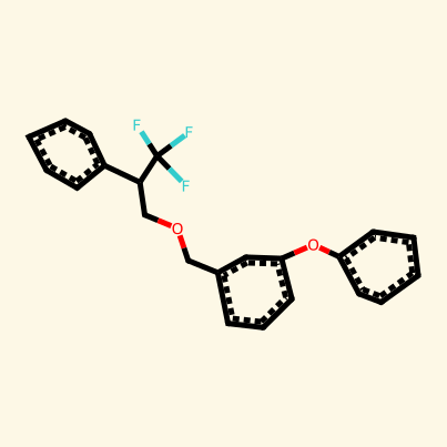 FC(F)(F)C(COCc1cccc(Oc2ccccc2)c1)c1ccccc1